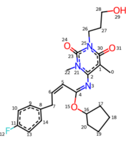 Cc1c(/N=C(\C=C/Cc2ccc(F)cc2)OC2CCCC2)n(C)c(=O)n(CCCO)c1=O